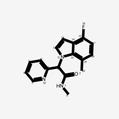 CNC(=O)C(c1ccccn1)n1ccc2c(F)ccc(C)c21